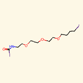 O=C(I)NCCOCCOCCOCCCCI